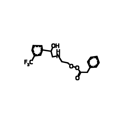 O=C(Cc1ccccc1)OOCCNCC(O)c1cccc(C(F)(F)F)c1